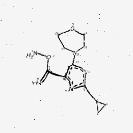 N=C(ON)c1nc(C2CC2)sc1N1CCOCC1